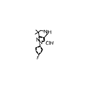 CC1(C)CNCc2cn(-c3ccc(F)cc3)nc21.Cl